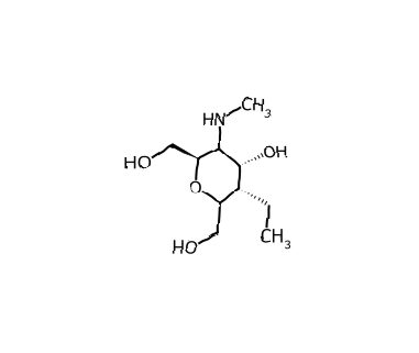 CC[C@@H]1C(CO)O[C@@H](CO)C(NC)[C@@H]1O